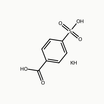 O=C(O)c1ccc(S(=O)(=O)O)cc1.[KH]